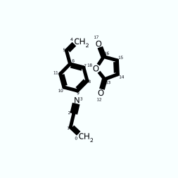 C=CC#N.C=Cc1ccccc1.O=C1C=CC(=O)O1